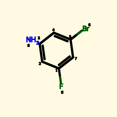 Fc1cccc(Br)c1.N